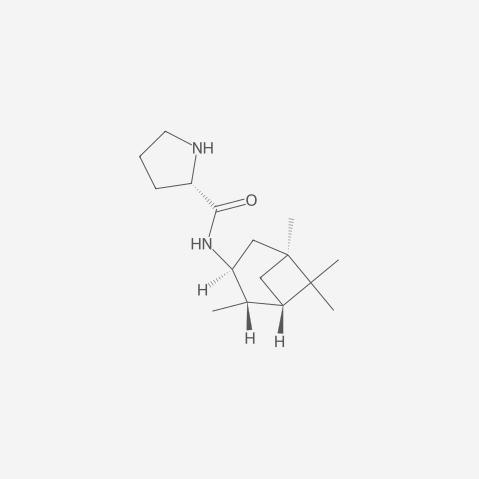 C[C@@H]1[C@@H](NC(=O)[C@@H]2CCCN2)C[C@]2(C)C[C@@H]1C2(C)C